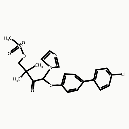 CC(C)(COS(C)(=O)=O)C(=O)C(Oc1ccc(-c2ccc(Cl)cc2)cc1)n1ccnc1